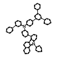 c1ccc(-c2cc(-c3ccccc3)cc(-c3ccc(N(c4cccc(-c5ccccc5)c4)c4cccc(-c5cccc6c5c5ccc7ccccc7c5n6-c5ccccc5)c4)cc3)c2)cc1